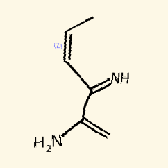 C=C(N)C(=N)/C=C\C